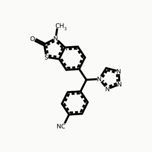 Cn1c(=O)sc2cc(C(c3ccc(C#N)cc3)n3cnnn3)ccc21